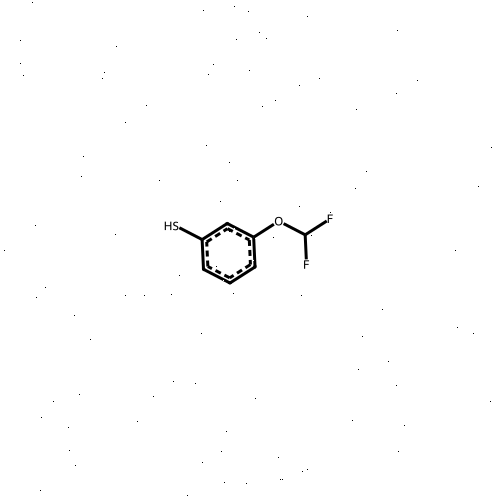 FC(F)Oc1cccc(S)c1